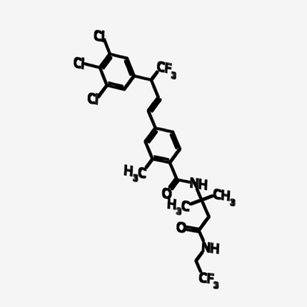 Cc1cc(/C=C/C(c2cc(Cl)c(Cl)c(Cl)c2)C(F)(F)F)ccc1C(=O)NC(C)(C)CC(=O)NCC(F)(F)F